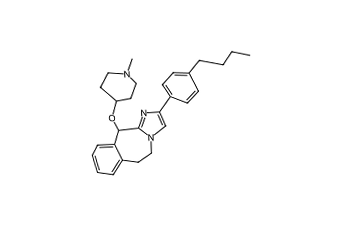 CCCCc1ccc(-c2cn3c(n2)C(OC2CCN(C)CC2)c2ccccc2CC3)cc1